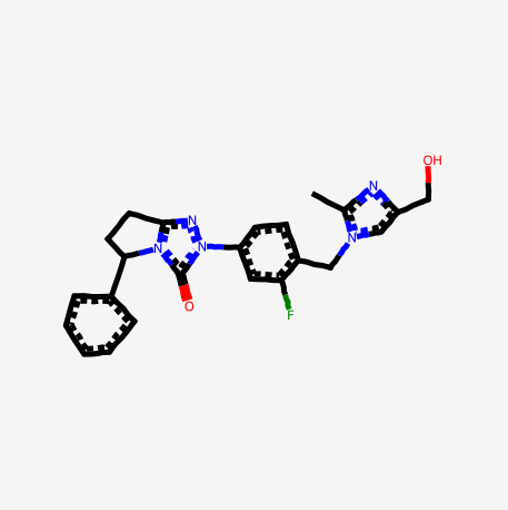 Cc1nc(CO)cn1Cc1ccc(-n2nc3n(c2=O)C(c2ccccc2)CC3)cc1F